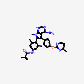 C=C(C)C(=O)Nc1cc(C)c(-c2c(-c3ccc(Oc4nccc(C)n4)cc3)c3c(N)ncnc3n2C)c(C)c1